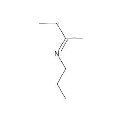 C[CH]C(C)=NCCC